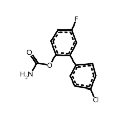 NC(=O)Oc1ccc(F)cc1-c1ccc(Cl)cc1